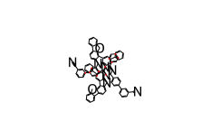 N#Cc1cccc(-c2ccc(-c3nc(-c4ccccc4)nc(-c4ccc(-c5cccc(C#N)c5)cc4-n4c5ccc(-c6ccccc6)cc5c5c6oc7ccccc7c6ccc54)n3)c(-n3c4ccc(-c5ccccc5)cc4c4c5oc6ccccc6c5ccc43)c2)c1